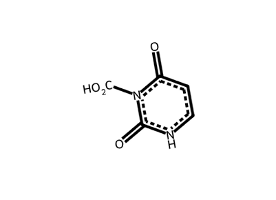 O=C(O)n1c(=O)cc[nH]c1=O